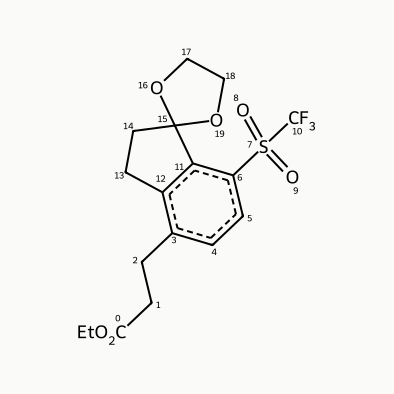 CCOC(=O)CCc1ccc(S(=O)(=O)C(F)(F)F)c2c1CCC21OCCO1